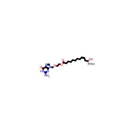 CCCCCC[C@@H](O)C/C=C\CCCCCCCC(=O)OCCOCn1cnc2c(=O)[nH]c(N)nc21